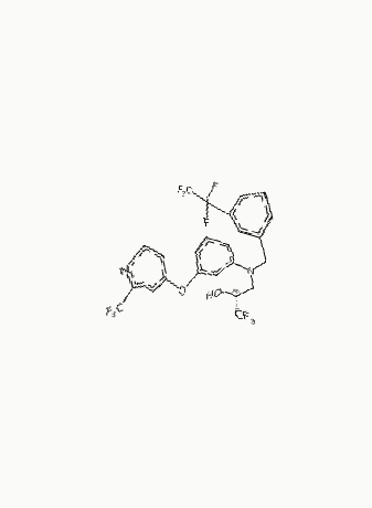 O[C@H](CN(Cc1cccc(C(F)(F)C(F)(F)F)c1)c1cccc(Oc2ccnc(C(F)(F)F)c2)c1)C(F)(F)F